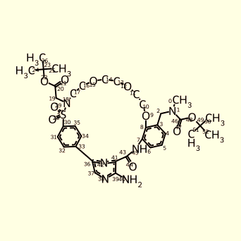 CN(Cc1cccc2c1OCCOCCOCCN(CC(=O)OC(C)(C)C)S(=O)(=O)c1ccc(cc1)-c1cnc(N)c(n1)C(=O)N2)C(=O)OC(C)(C)C